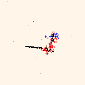 CCCCCCCCCCCCCC(=O)OC[C@H](F)C1O[C@@H](OP(=O)(O)OP(O)(=S)OC[C@H]2O[C@@H](c3c(N)sc(C(N)=O)c3N)[C@H](O)[C@H]2O)[C@H](OC(C)=O)[C@@H](OC(C)=O)[C@@H]1OC(C)=O